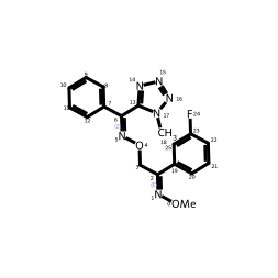 CO/N=C(/CO/N=C(/c1ccccc1)c1nnnn1C)c1cccc(F)c1